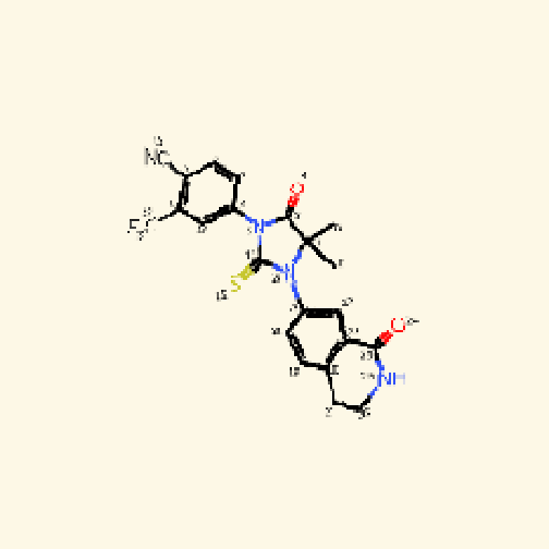 CC1(C)C(=O)N(c2ccc(C#N)c(C(F)(F)F)c2)C(=S)N1c1ccc2c(c1)C(=O)NCC2